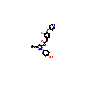 CC(C)(C)c1cc(NC(=O)Cc2ccc(Oc3ccncc3)c(F)c2)n(-c2ccc(O)cc2)n1